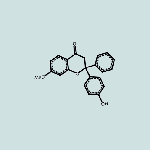 COc1ccc2c(c1)O[C@@](c1ccccc1)(c1ccc(O)cc1)CC2=O